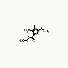 CCOC(=O)c1cc(CC)[nH]c1C